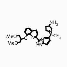 COCC(COC)Oc1cccc2ccc(-c3nnc4ccc([C@@H](N5CCC(N)C5)C(F)(F)F)cn34)nc12